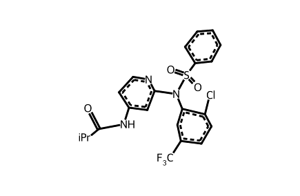 CC(C)C(=O)Nc1ccnc(N(c2cc(C(F)(F)F)ccc2Cl)S(=O)(=O)c2ccccc2)c1